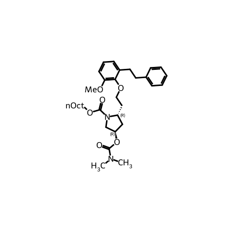 CCCCCCCCOC(=O)N1C[C@H](OC(=O)N(C)C)C[C@H]1CCOc1c(CCc2ccccc2)cccc1OC